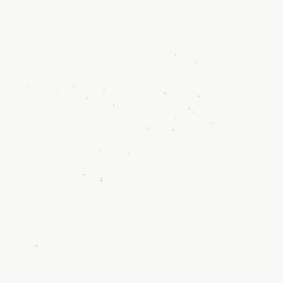 CC/C=C\CCCN(CCCN(C)C)C(=O)OC(CCCCCCCC)CCCCCCCCCCC